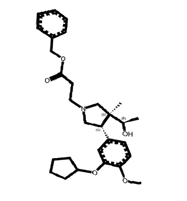 COc1ccc([C@@H]2CN(CCC(=O)OCc3ccccc3)C[C@@]2(C)[C@@H](C)O)cc1OC1CCCC1